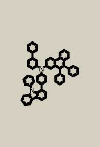 c1ccc(-c2cccc(N(c3ccc(-c4cccc5c6ccccc6n(-c6ccccc6)c45)cc3)c3ccc4c(c3)c(-c3ccccc3)c(-c3ccccc3)c3ccccc34)c2)cc1